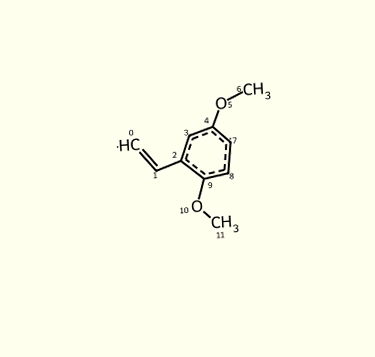 [CH]=Cc1cc(OC)[c]cc1OC